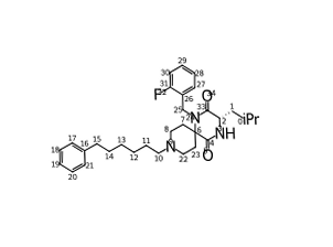 CC(C)C[C@@H]1NC(=O)C2(CCN(CCCCCCc3ccccc3)CC2)N(Cc2ccccc2F)C1=O